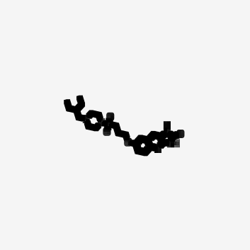 CCC(CC)CN1CCN(S(=O)(=O)CCCOc2ccc3nc4[nH]c(=O)[nH]c4cc3c2)CC1